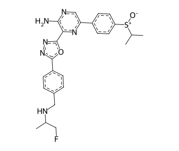 CC(CF)NCc1ccc(-c2nnc(-c3nc(-c4ccc([S+]([O-])C(C)C)cc4)cnc3N)o2)cc1